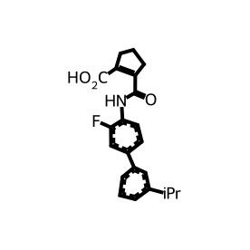 CC(C)c1cccc(-c2ccc(NC(=O)C3=C(C(=O)O)CCC3)c(F)c2)c1